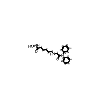 O=C(CCCCCNCC(=O)N(c1ccccc1)c1ccccc1)NO